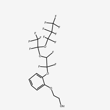 OCCOc1ccccc1OC(F)(F)C(F)OC(F)(OC(F)(F)C(F)(F)C(F)(F)F)C(F)(F)F